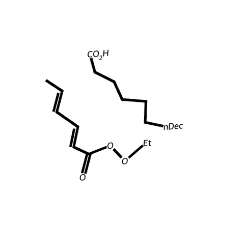 C/C=C/C=C/C(=O)OOCC.CCCCCCCCCCCCCCCC(=O)O